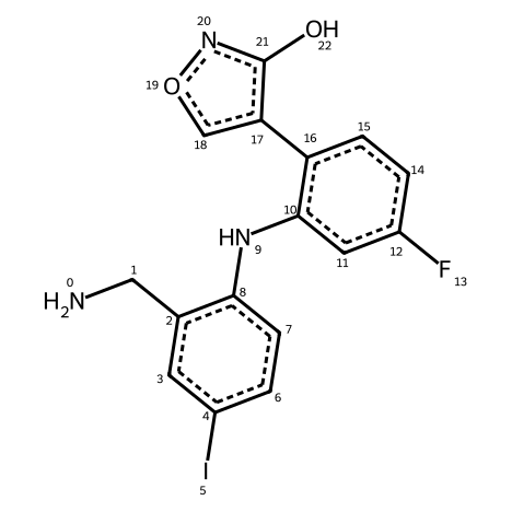 NCc1cc(I)ccc1Nc1cc(F)ccc1-c1conc1O